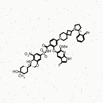 COc1nc2[nH]cc(F)c2cc1Oc1cc(N2CCC3(CC2)CC(N2CCC[C@H]2c2ccccc2C(C)C)C3)ccc1C(=O)NS(=O)(=O)c1cc2c(c([N+](=O)[O-])c1)N[C@@H]([C@H]1CC[C@](C)(O)CC1)CO2